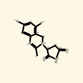 CC1=Nc2cc(F)cc(F)c2CN1C1CC(=O)NC1=O